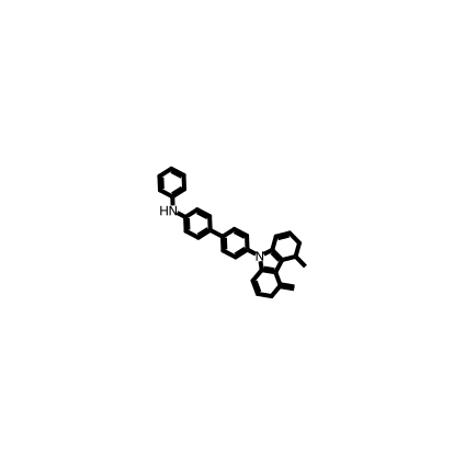 C=C1CC=Cc2c1c1c(n2-c2ccc(-c3ccc(Nc4ccccc4)cc3)cc2)C=CCC1C